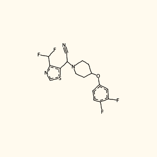 N#CC(c1scnc1C(F)F)N1CCC(Oc2ccc(F)c(F)c2)CC1